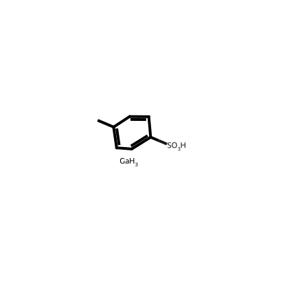 Cc1ccc(S(=O)(=O)O)cc1.[GaH3]